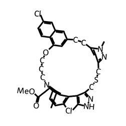 COC(=O)c1c(C)c2c3c(Cl)ccc2n1CCCOc1cc(cc2cc(Cl)ccc12)CCc1cc(nn1C)CSCc1n[nH]c(C)c1-3